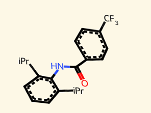 CC(C)c1cccc(C(C)C)c1NC(=O)c1ccc(C(F)(F)F)cc1